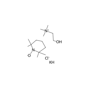 CC1(C)CCCC(C)(C)N1[O].C[N+](C)(C)CCO.[Cl-].[KH]